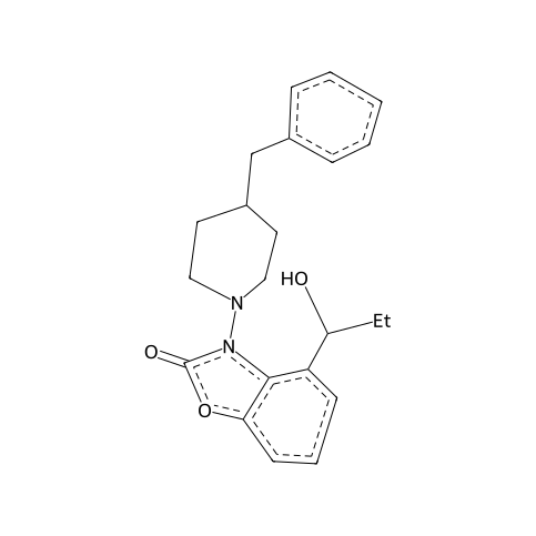 CCC(O)c1cccc2oc(=O)n(N3CCC(Cc4ccccc4)CC3)c12